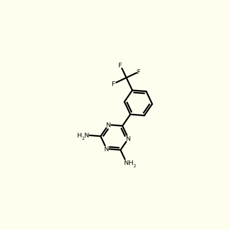 Nc1nc(N)nc(-c2cccc(C(F)(F)F)c2)n1